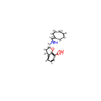 Oc1cccc2c1O[C@@H](CNCC1CCCCCC1)CC2